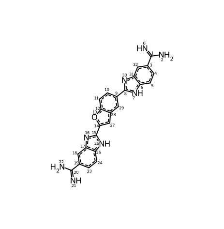 N=C(N)c1ccc2[nH]c(-c3ccc4oc(-c5nc6cc(C(=N)N)ccc6[nH]5)cc4c3)nc2c1